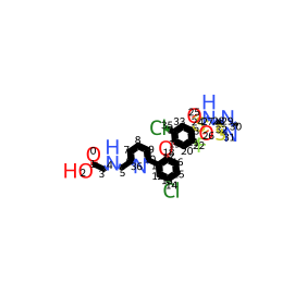 O=C(O)CNCc1cccc(-c2cc(Cl)ccc2Oc2cc(F)c(S(=O)(=O)Nc3ncns3)cc2Cl)n1